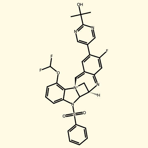 CC(C)(O)c1ncc(-c2cc3c(cc2F)=N[C@@H]2C[N@@+]4(C=3)c3c(OC(F)F)cccc3N(S(=O)(=O)c3ccccc3)C24)cn1